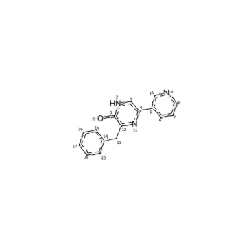 O=c1[nH]cc(-c2cccnc2)nc1Cc1ccccc1